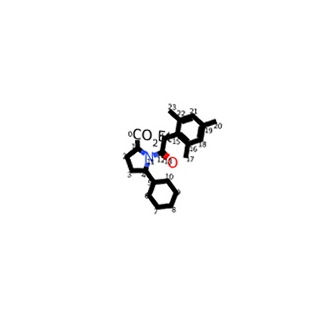 CCOC(=O)C1CCC(C2CCCCC2)N1C(=O)Cc1c(C)cc(C)cc1C